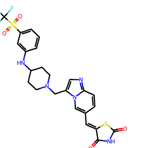 O=C1NC(=O)/C(=C/c2ccc3ncc(CN4CCC(Nc5cccc(S(=O)(=O)C(F)(F)F)c5)CC4)n3c2)S1